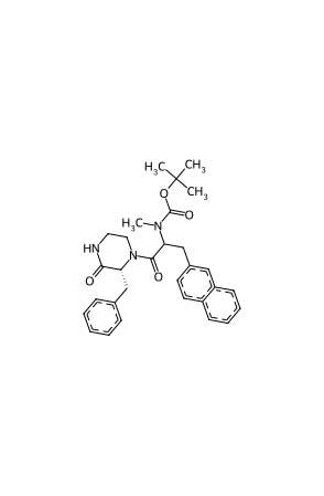 CN(C(=O)OC(C)(C)C)C(Cc1ccc2ccccc2c1)C(=O)N1CCNC(=O)[C@H]1Cc1ccccc1